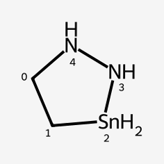 C1[CH2][SnH2][NH]N1